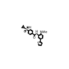 CNc1ccc(-c2cccs2)cc1NC(=O)c1ccc(S(=N)(=O)C2CC2)cc1